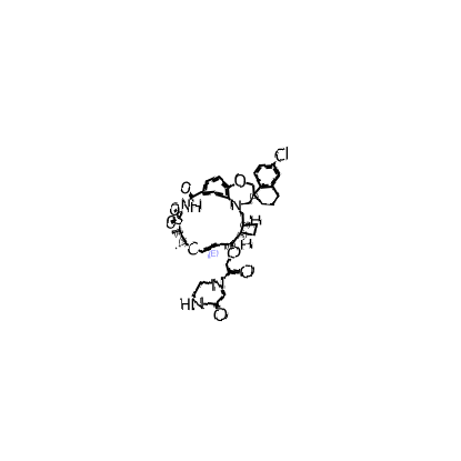 C[C@@H]1[C@@H](C)C/C=C/[C@H](OCC(=O)N2CCNC(=O)C2)[C@@H]2CC[C@H]2CN2C[C@@]3(CCCc4cc(Cl)ccc43)COc3ccc(cc32)C(=O)NS1(=O)=O